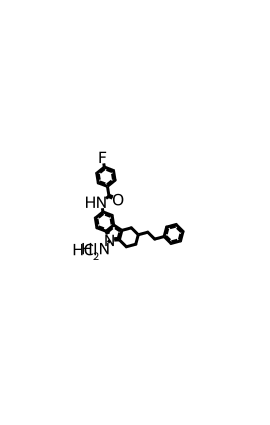 Cl.Nn1c2c(c3cc(NC(=O)c4ccc(F)cc4)ccc31)CC(CCc1ccccc1)CC2